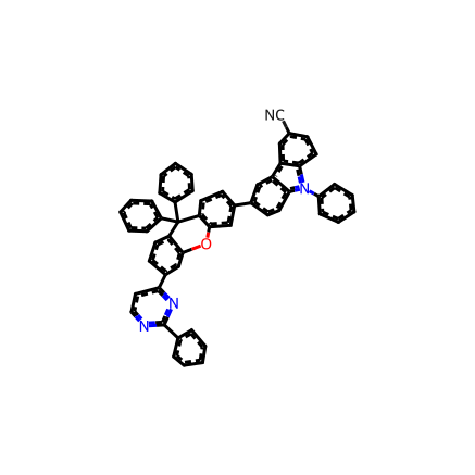 N#Cc1ccc2c(c1)c1cc(-c3ccc4c(c3)Oc3cc(-c5ccnc(-c6ccccc6)n5)ccc3C4(c3ccccc3)c3ccccc3)ccc1n2-c1ccccc1